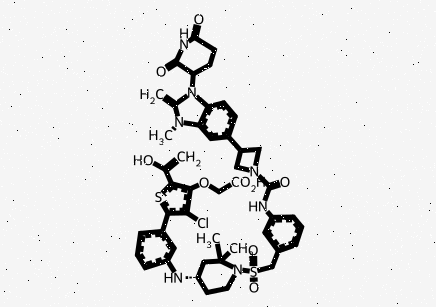 C=C(O)c1sc(-c2cccc(N[C@H]3CCN(S(=O)(=O)Cc4cccc(NC(=O)N5CC(c6ccc7c(c6)N(C)C(=C)N7C6CCC(=O)NC6=O)C5)c4)C(C)(C)C3)c2)c(Cl)c1OCC(=O)O